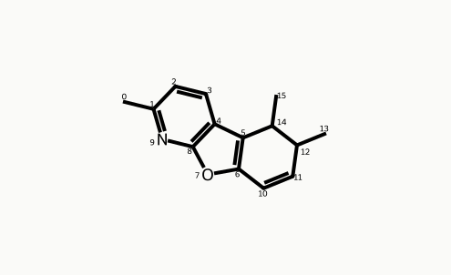 Cc1ccc2c3c(oc2n1)C=CC(C)C3C